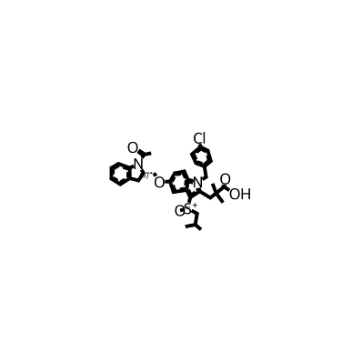 CC(=O)N1c2ccccc2C[C@H]1COc1ccc2c(c1)c([S+]([O-])CC(C)C)c(CC(C)(C)C(=O)O)n2Cc1ccc(Cl)cc1